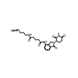 CN1C(=O)CCC(N2Cc3c(NC(=O)CCCC(=O)NCCCN=[N+]=[N-])cccc3C2=O)C1=O